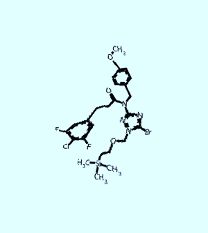 COc1ccc(CN(C(=O)CCc2cc(F)c(Cl)c(F)c2)c2nc(Br)n(COCC[Si](C)(C)C)n2)cc1